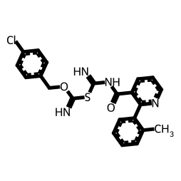 Cc1ccccc1-c1ncccc1C(=O)NC(=N)SC(=N)OCc1ccc(Cl)cc1